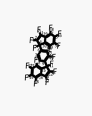 FC1=C(F)C(F)(c2[c]cc(C3(F)C(F)=C(F)c4c(F)c(F)c(F)c(F)c43)c(F)c2F)c2c(F)c(F)c(F)c(F)c21